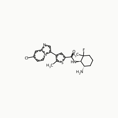 Cc1sc(C(=O)N[C@@H]2[C@@H](N)CCCC2(C)F)cc1-c1cnc2cc(Cl)ccn12